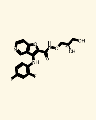 O=C(NOC[C@H](O)CO)c1oc2ccncc2c1Nc1ccc(I)cc1F